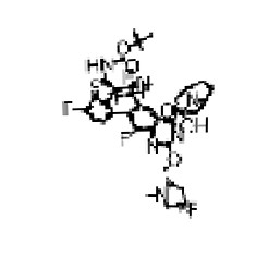 CN1C[C@H](F)C[C@H]1COc1nc(N2CC3CCC(C2)N3C(=O)O)c2cc(C(F)(F)F)c(-c3ccc(F)c4sc(NC(=O)OC(C)(C)C)c(C#N)c34)c(F)c2n1